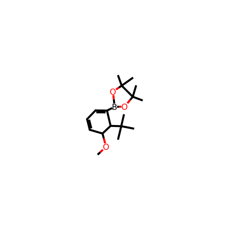 COC1C=CC=C(B2OC(C)(C)C(C)(C)O2)C1C(C)(C)C